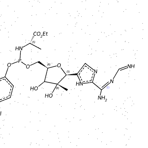 CCOC(=O)[C@H](C)NP(OC[C@H]1O[C@@H](c2cnc(/C(N)=N\C=N)[nH]2)[C@](C)(O)C1O)Oc1ccc(Cl)cc1